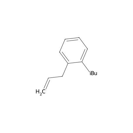 C=CCc1ccccc1C(C)CC